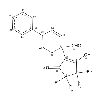 O=CC1(C2=C(O)C(F)(F)C(F)(F)C2=O)C=CC(c2ccncc2)=CC1